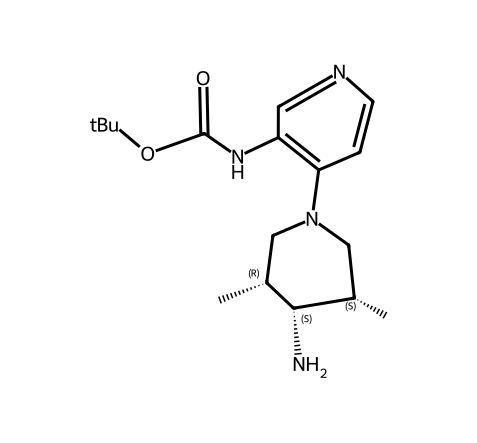 C[C@@H]1CN(c2ccncc2NC(=O)OC(C)(C)C)C[C@H](C)[C@@H]1N